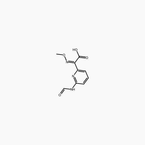 CON=C(C(=O)O)c1cccc(NC=O)n1